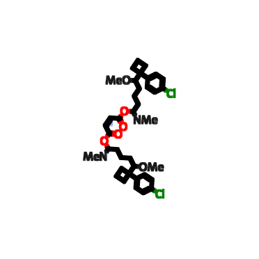 CNC(CCCC(OC)C1(c2ccc(Cl)cc2)CCC1)OC(=O)/C=C\C(=O)OC(CCCC(OC)C1(c2ccc(Cl)cc2)CCC1)NC